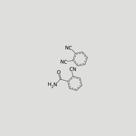 N#Cc1ccccc1C#N.N#Cc1ccccc1C(N)=O